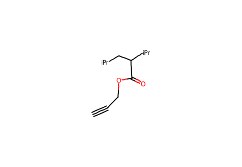 C#CCOC(=O)C(CC(C)C)C(C)C